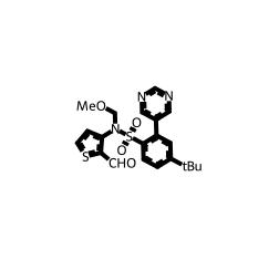 COCN(c1ccsc1C=O)S(=O)(=O)c1ccc(C(C)(C)C)cc1-c1cncnc1